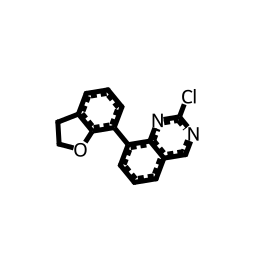 Clc1ncc2cccc(-c3cccc4c3OCC4)c2n1